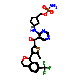 Cc1sc(C(=O)c2cncnc2N[C@H]2CCC(COS(N)(=O)=O)C2)cc1C1OCCc2ccc(C(F)(F)F)cc21